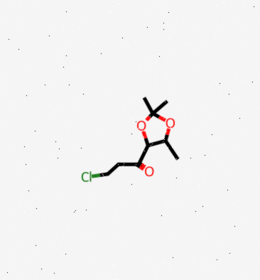 CC1OC(C)(C)OC1C(=O)CCCl